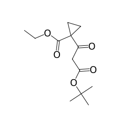 CCOC(=O)C1(C(=O)CC(=O)OC(C)(C)C)CC1